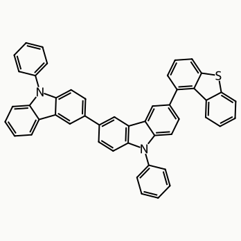 c1ccc(-n2c3ccccc3c3cc(-c4ccc5c(c4)c4cc(-c6cccc7sc8ccccc8c67)ccc4n5-c4ccccc4)ccc32)cc1